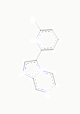 Clc1cccc(-c2cnc3cnccn23)n1